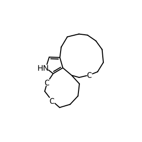 c1[nH]c2c3c1CCCCCCCCCCC3CCCCCCC2